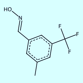 Cc1cc(/C=N/O)cc(C(F)(F)F)c1